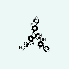 C=CC(=O)Nc1cccc(-c2nc(Nc3ccc(F)c(N4CCOCC4)c3)ncc2Nc2ccc(N3CCOCC3)c(F)c2)c1